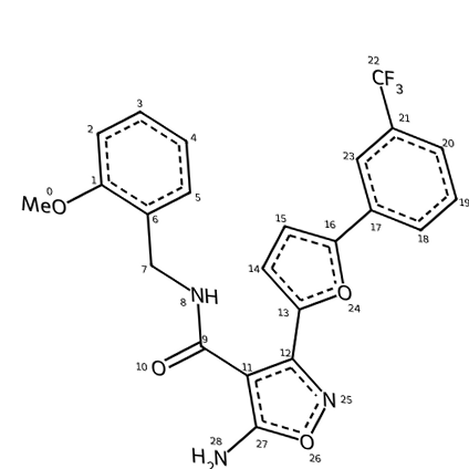 COc1ccccc1CNC(=O)c1c(-c2ccc(-c3cccc(C(F)(F)F)c3)o2)noc1N